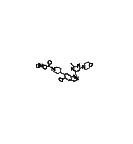 Cc1nc(N2CCOCC2)cc(-n2ncc3cc(Cl)c(C4CCN(C(=O)OC(C)(C)C)CC4)cc32)n1